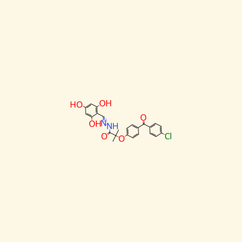 CC(C)(Oc1ccc(C(=O)c2ccc(Cl)cc2)cc1)C(=O)N/N=C/c1c(O)cc(O)cc1O